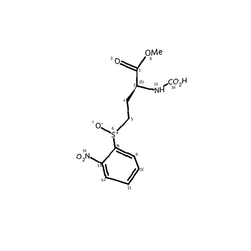 COC(=O)[C@H](CC[S+]([O-])c1ccccc1[N+](=O)[O-])NC(=O)O